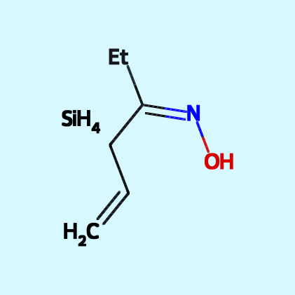 C=CCC(CC)=NO.[SiH4]